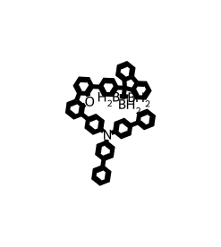 BC(B)(B)C1(c2ccc(-c3cccc4c3oc3c(-c5ccc(N(c6ccc(-c7ccccc7)cc6)c6ccc(-c7ccccc7)cc6)cc5)cccc34)cc2)c2ccccc2-c2ccccc21